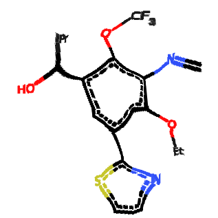 C=Nc1c(OCC)c(-c2nccs2)cc(C(O)C(C)C)c1OC(F)(F)F